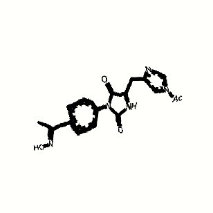 CC(=O)n1cnc(CC2NC(=O)N(c3ccc(C(C)=NO)cc3)C2=O)c1